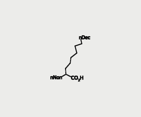 CCCCCCCCCCCCCCCCC(CCCCCCCCC)C(=O)O